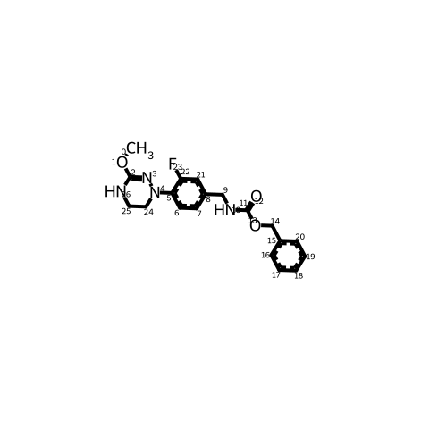 COC1=NN(c2ccc(CNC(=O)OCc3ccccc3)cc2F)CCN1